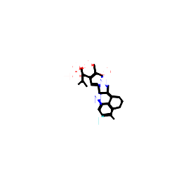 Cc1c(F)cc2nc3c(c4c2c1CCC4)Cn1c-3cc2c(c1=O)COC(=O)[C@]2(O)C(C)C